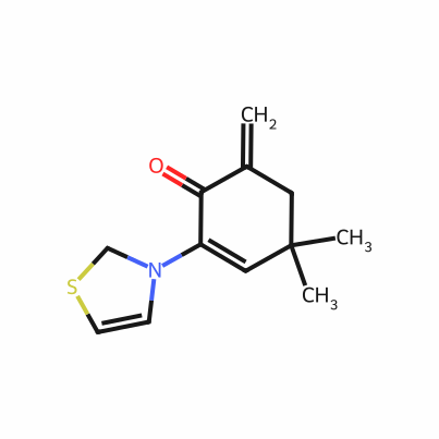 C=C1CC(C)(C)C=C(N2C=CSC2)C1=O